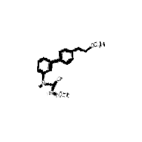 CCCCCCCCNC(=O)N(C)c1cccc(-c2ccc(CCC(=O)O)cc2)c1